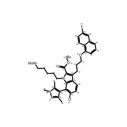 CNCCCCCn1c(C(=O)OC(C)(C)C)c(CCCOc2cccc3cc(F)ccc23)c2ccc(Cl)c(-c3c(C)nn(C)c3C)c21